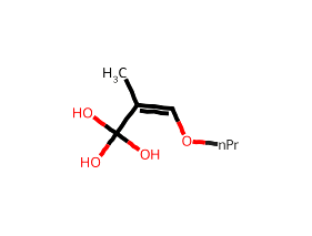 CCCOC=C(C)C(O)(O)O